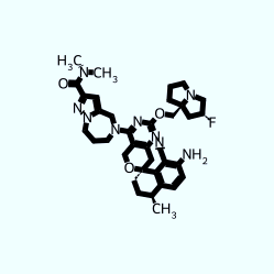 C[C@H]1CC[C@]2(Cc3nc(OC[C@@]45CCCN4C[C@H](F)C5)nc(N4CCCn5nc(C(=O)N(C)C)cc5C4)c3CO2)c2c1ccc(N)c2C#N